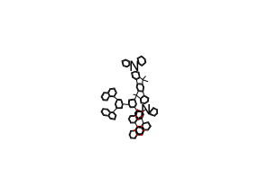 CC1(C)c2cc(N(c3ccccc3)c3ccccc3)ccc2-c2cc3c(cc21)-c1ccc(N(c2ccccc2)c2ccccc2)cc1C3(C)c1cc(-c2cc(-c3cccc4ccccc34)cc(-c3cccc4ccccc34)c2)cc(-c2ccc(-c3cccc4ccccc34)c3c(-c4cccc5ccccc45)cccc23)c1